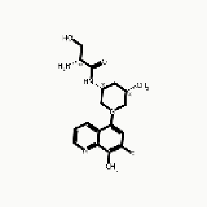 Cc1c(F)cc(N2C[C@@H](C)C[C@@H](NC(=O)[C@H](N)CO)C2)c2cccnc12